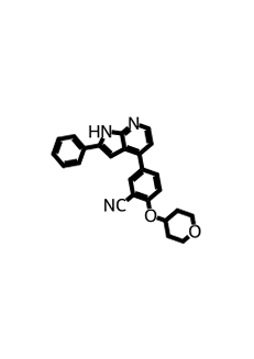 N#Cc1cc(-c2ccnc3[nH]c(-c4ccccc4)cc23)ccc1OC1CCOCC1